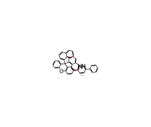 N=C(/C=C\C(=N)c1ccc2c(c1)C(C1=c3ccccc3=CCC1)(c1cccc3ccccc13)c1ccccc1O2)c1ccccc1